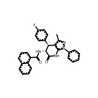 Cc1nn(-c2ccccc2)c2c1[C@H](c1ccc(F)cc1)[C@@H](NC(=O)c1cccc3ccccc13)C(=O)N2